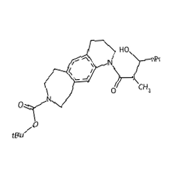 CCCC(O)I(C)C(=O)N1CCCc2cc3c(cc21)CCN(C(=O)OC(C)(C)C)CC3